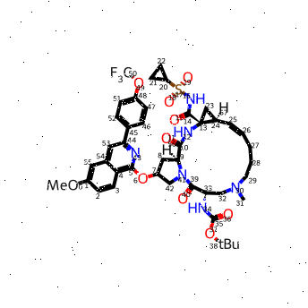 COc1ccc2c(OC3C[C@H]4C(=O)N[C@]5(C(=O)NS(=O)(=O)C6CC6)C[C@H]5/C=C\CCCN(C)C[C@H](NC(=O)OC(C)(C)C)C(=O)N4C3)nc(-c3ccc(OC(F)(F)F)cc3)cc2c1